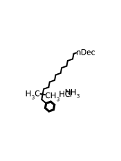 CCCCCCCCCCCCCCCCCCCCCC(C)(C)Cc1ccccc1.Cl.N